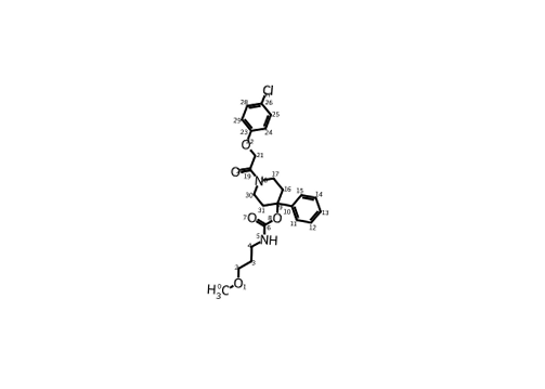 COCCCNC(=O)OC1(c2ccccc2)CCN(C(=O)COc2ccc(Cl)cc2)CC1